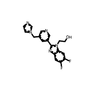 OCCn1c(-c2cncc(Cn3ccnc3)c2)nc2cc(F)c(F)cc21